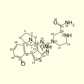 COC1CC2CCC(C1)N2c1nc(N2CCNC(C(N)=O)C2)nc2scc(-c3ccccc3Cl)c12